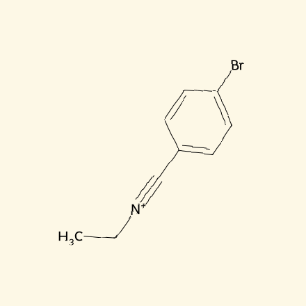 CC[N+]#Cc1ccc(Br)cc1